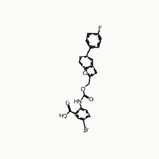 O=C(Nc1ccc(Br)cc1C(=O)O)OCc1cc2cc(-c3ccc(F)cc3)ccc2o1